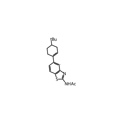 CC(=O)Nc1nc2[c]c(C3=CCC(C(C)(C)C)CC3)ccc2s1